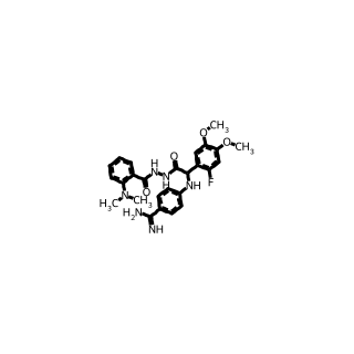 COc1cc(F)c(C(Nc2ccc(C(=N)N)cc2)C(=O)NNC(=O)c2ccccc2N(C)C)cc1OC